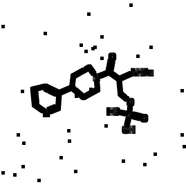 CC(=O)NC(COP(=O)(O)O)C(=O)N1CCC(c2cccnc2)CC1